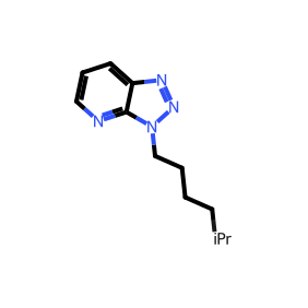 CC(C)CCCCn1nnc2cccnc21